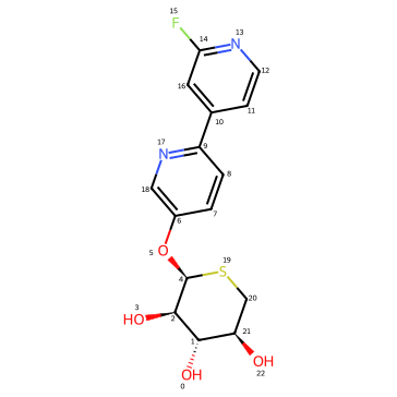 O[C@@H]1[C@@H](O)[C@@H](Oc2ccc(-c3ccnc(F)c3)nc2)SC[C@H]1O